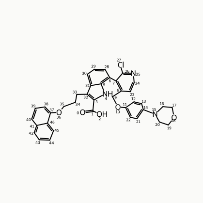 O=C(O)c1[nH]c2c(-c3c(COc4ccc(N5CCOCC5)cc4)ccnc3Cl)cccc2c1CCCOc1cccc2ccccc12